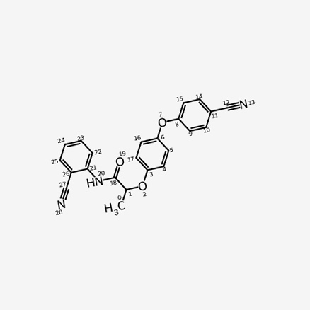 CC(Oc1ccc(Oc2ccc(C#N)cc2)cc1)C(=O)Nc1ccccc1C#N